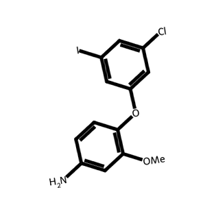 COc1cc(N)ccc1Oc1cc(Cl)cc(I)c1